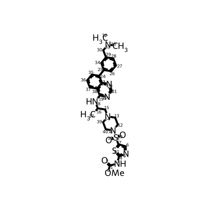 COC(=O)Nc1ncc(S(=O)(=O)N2CCN(CC(C)Nc3ncnc4c(-c5cccc(CN(C)C)c5)cccc34)CC2)s1